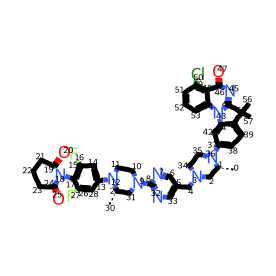 C[C@@H]1CN(Cc2cnc(N3CCN(c4cc(F)c(N5C(=O)CCCC5=O)c(F)c4)[C@@H](C)C3)nc2)CCN1c1ccc2c(c1)-n1c(nc(=O)c3c(Cl)cccc31)C2(C)C